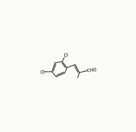 CC(C=O)=Cc1ccc(Cl)cc1Cl